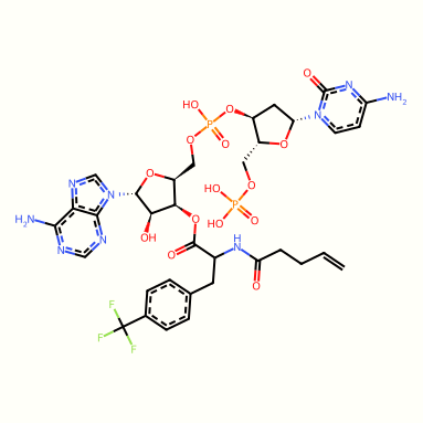 C=CCCC(=O)NC(Cc1ccc(C(F)(F)F)cc1)C(=O)O[C@H]1[C@@H](O)[C@H](n2cnc3c(N)ncnc32)O[C@H]1COP(=O)(O)O[C@H]1C[C@H](n2ccc(N)nc2=O)O[C@@H]1COP(=O)(O)O